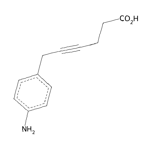 Nc1ccc(CC#CCCC(=O)O)cc1